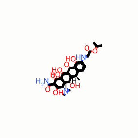 CC(C)OC(=O)CNc1ccc2c(c1O)C(=O)C1=C(O)[C@@]3(O)C(=O)C(C(N)=O)=C(O)[C@@H](N(C)C)[C@H]3[C@H](O)[C@H]1[C@@H]2C